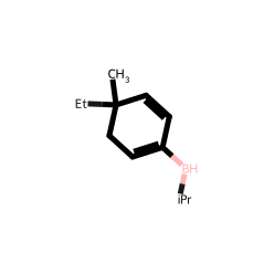 CCC1(C)C=CC(BC(C)C)=CC1